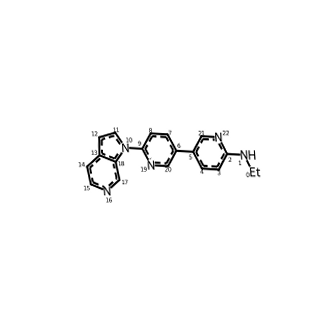 CCNc1ccc(-c2ccc(-n3ccc4ccncc43)nc2)cn1